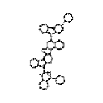 c1ccc(-c2ccc3c(c2)c2ccccc2n3-c2cc3oc4c(ccc5c4c4ccccc4n5-c4nc(-c5ccccc5)c5ccccc5n4)c3c3ccccc23)cc1